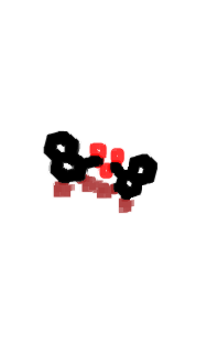 O=C(OC(=O)c1c(Br)c(Br)cc2ccccc12)c1c(Br)c(Br)cc2ccccc12